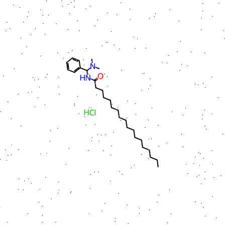 CCCCCCCCCCCCCCCCCC(=O)NC(c1ccccc1)N(C)C.Cl